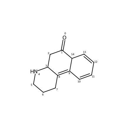 O=C1CC2NCCCC2=C2C=CC=CC12